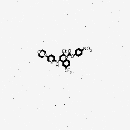 CC[C@@H]1C[C@H](Nc2ccc(N3CCOCC3)cn2)c2cc(C(F)(F)F)ccc2N1C(=O)Oc1ccc([N+](=O)[O-])cc1